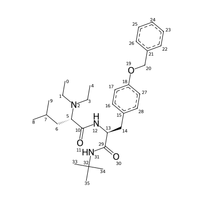 CCN(CC)[C@@H](CC(C)C)C(=O)N[C@@H](Cc1ccc(OCc2ccccc2)cc1)C(=O)NC(C)(C)C